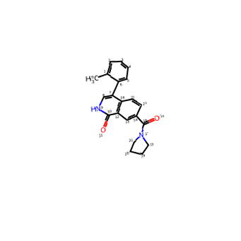 Cc1ccccc1-c1c[nH]c(=O)c2cc(C(=O)N3CCCC3)ccc12